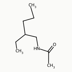 CCCC(CC)CNC(C)=O